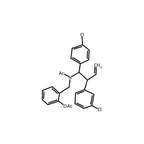 C=CC(c1cccc(Cl)c1)C(c1ccc(Cl)cc1)N(Cc1ccccc1OC(C)=O)C(C)=O